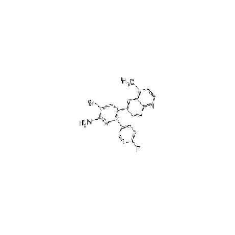 Cc1ccnc2ccc(-c3cc(Br)c(N)nc3-c3ccc(F)cc3)cc12